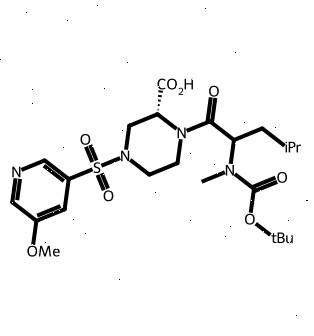 COc1cncc(S(=O)(=O)N2CCN(C(=O)C(CC(C)C)N(C)C(=O)OC(C)(C)C)[C@@H](C(=O)O)C2)c1